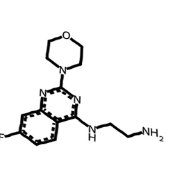 NCCNc1nc(N2CCOCC2)nc2cc(F)ccc12